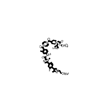 COCCn1cc(-c2ccc(-c3cnc(C(=O)Nc4ccc(C(=O)N5CCN(C(=O)C6CC[N+](CC(=O)OC=O)(CC7CNC7)CC6)CC5)c(C)c4)n3C)cc2F)c(C)n1